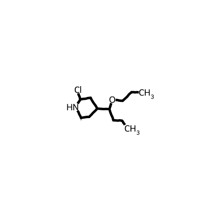 CCCOC(CCC)C1C[CH]NC(Cl)C1